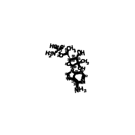 CC(OP(N)(=O)O)[C@H]1O[C@@H](n2cnc3c(N)ncnc32)[C@](C)(O)[C@@H]1O